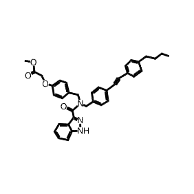 CCCCc1ccc(C#Cc2ccc(CN(Cc3ccc(OCC(=O)OC)cc3)C(=O)c3n[nH]c4ccccc34)cc2)cc1